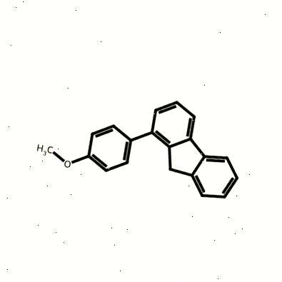 COc1ccc(-c2cccc3c2Cc2ccccc2-3)cc1